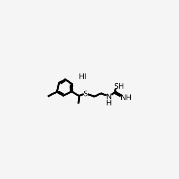 Cc1cccc(C(C)SCCNC(=N)S)c1.I